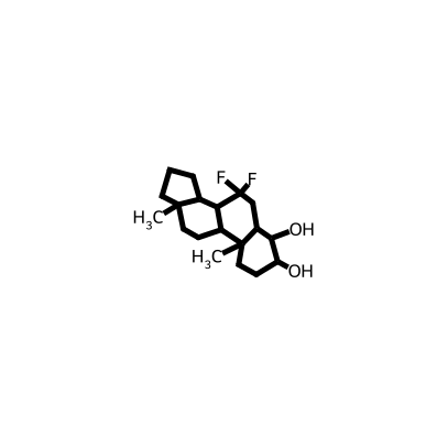 CC12CCCC1C1C(CC2)C2(C)CCC(O)C(O)C2CC1(F)F